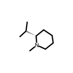 CC(C)[C@@H]1CCCCN1C